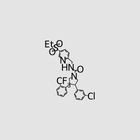 CCS(=O)(=O)c1ccc(CNC(=O)N2CC(c3cccc(Cl)c3)C(c3ccccc3C(F)(F)F)C2)nc1